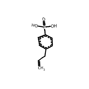 C=CCc1ccc(P(=O)(O)O)cc1